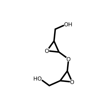 OCC1OC1OC1OC1CO